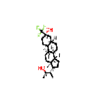 CC([C@H]1CC[C@H]2[C@@H]3CC[C@H]4C[C@](O)(C(F)(F)F)CC[C@]4(C)[C@H]3CC[C@]12C)[C@@H](C)O